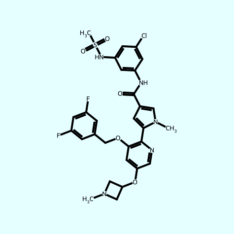 CN1CC(Oc2cnc(-c3cc(C(=O)Nc4cc(Cl)cc(NS(C)(=O)=O)c4)cn3C)c(OCc3cc(F)cc(F)c3)c2)C1